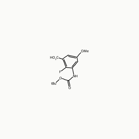 COc1cc(NC(=O)OC(C)(C)C)c(F)c(C(=O)O)c1